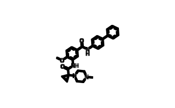 COc1ccc(C(=O)Nc2ccc(-c3ccccc3)cc2)cc1NC(=O)C1(N2CCN(C)CC2)CC1